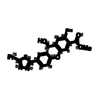 COC(=O)c1cc(Oc2ccc(-c3nnc(C(C)C)s3)cc2)c(CO)cc1F